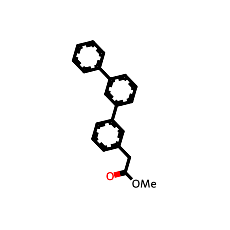 COC(=O)Cc1cccc(-c2cccc(-c3ccccc3)c2)c1